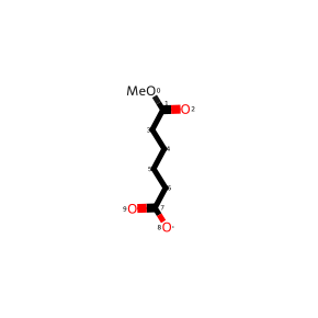 COC(=O)CCCCC([O])=O